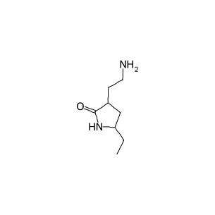 CCC1CC(CCN)C(=O)N1